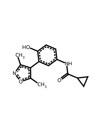 Cc1noc(C)c1-c1cc(NC(=O)C2CC2)ccc1O